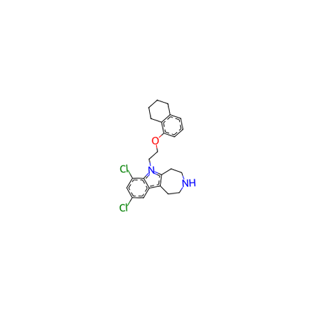 Clc1cc(Cl)c2c(c1)c1c(n2CCOc2cccc3c2CCCC3)CCNCC1